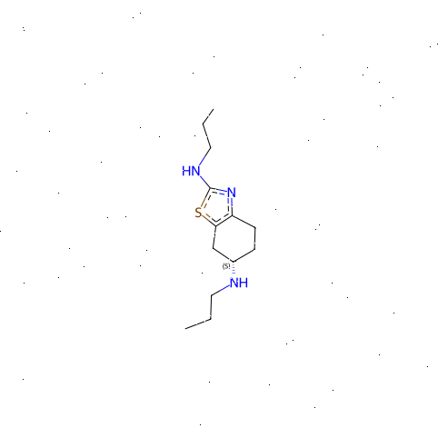 CCCNc1nc2c(s1)C[C@@H](NCCC)CC2